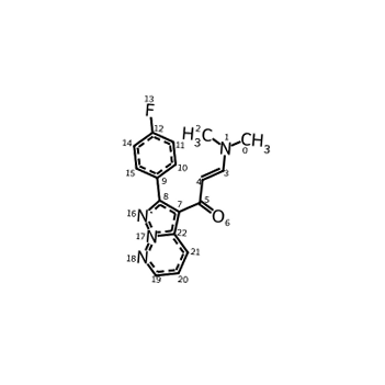 CN(C)/C=C/C(=O)c1c(-c2ccc(F)cc2)nn2ncccc12